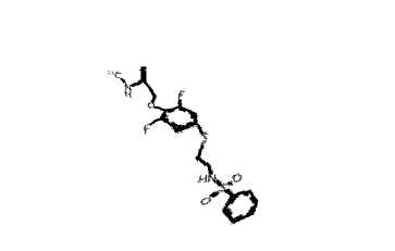 C=C(COc1c(F)cc(SCCNS(=O)(=O)c2ccccc2)cc1F)N[11CH3]